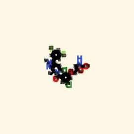 C[C@H]1c2nn(C)c(-c3cc(F)cc(F)c3)c2CCN1C(=O)c1cc(Cl)cc(OC[C@H]2CNC(=O)O2)c1Cl